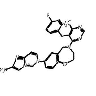 Cc1ncnc(N2CCOc3ccc(N4C=CC5=NC(N)=C[N+]5C4)cc3C2)c1Cc1ccc(F)cc1